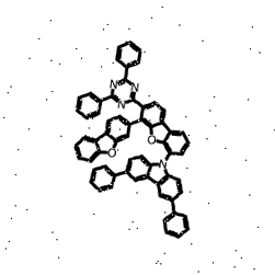 c1ccc(-c2ccc3c(c2)c2cc(-c4ccccc4)ccc2n3-c2cccc3c2oc2c(-c4ccc5c(c4)oc4ccccc45)c(-c4nc(-c5ccccc5)nc(-c5ccccc5)n4)ccc23)cc1